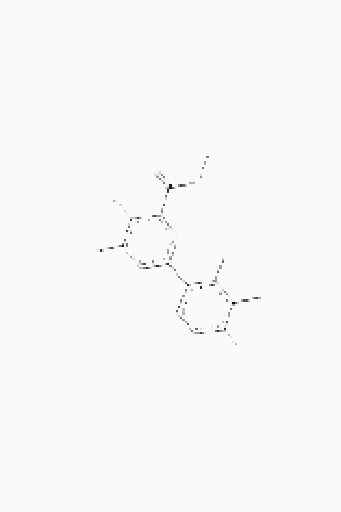 COC(=O)c1nc(-c2ccc(Cl)c(C)c2F)cc(N)c1Cl